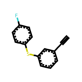 C#Cc1cccc(Sc2ccc(F)cc2)c1